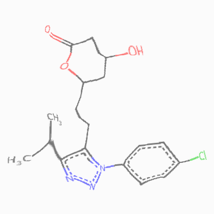 CC(C)c1nnn(-c2ccc(Cl)cc2)c1CCC1CC(O)CC(=O)O1